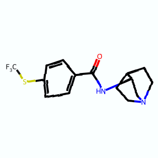 O=C(NC1CN2CCC1CC2)c1ccc(SC(F)(F)F)cc1